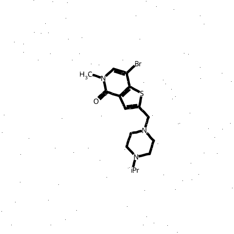 CC(C)N1CCN(Cc2cc3c(=O)n(C)cc(Br)c3s2)CC1